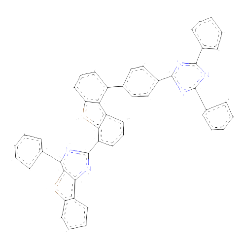 c1ccc(-c2nc(-c3ccccc3)nc(-c3ccc(-c4cccc5sc6c(-c7nc(-c8ccccc8)c8sc9ccccc9c8n7)cccc6c45)cc3)n2)cc1